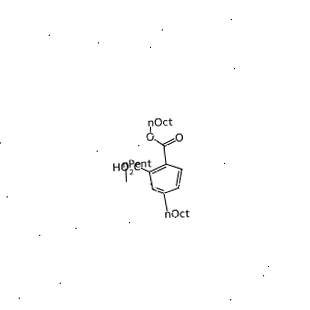 CCCCCC.CCCCCCCCOC(=O)c1ccc(CCCCCCCC)cc1C(=O)O